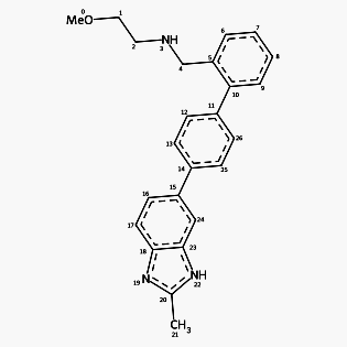 COCCNCc1ccccc1-c1ccc(-c2ccc3nc(C)[nH]c3c2)cc1